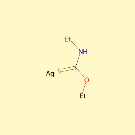 CCNC(=S)OCC.[Ag]